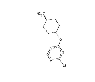 O=C(O)[C@H]1CC[C@H](Oc2ccnc(Cl)n2)CC1